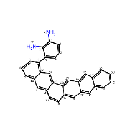 Nc1cccc(-c2cccc3cc4ccc5cc6cc7ccccc7cc6cc5c4cc23)c1N